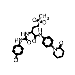 CS(=O)(=O)CCC(NC(=O)Nc1ccc(Cl)cc1)C(=O)Nc1ccc(N2CCCCC2=O)cc1